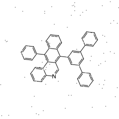 c1ccc(-c2cc(-c3ccccc3)cc(-c3c4ccccc4c(-c4ccccc4)c4c3cnc3ccccc34)c2)cc1